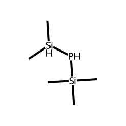 C[SiH](C)P[Si](C)(C)C